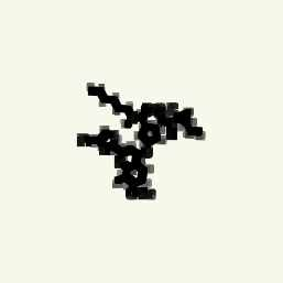 C=CCCCCN(C)C(=O)[C@@H]1C[C@H](Oc2cc(-c3nc(C(C)C)cs3)nc3c(C)c(OC)ccc23)C[C@H]1C(=O)N[C@]1(C(=O)OCC)C[C@H]1C=C